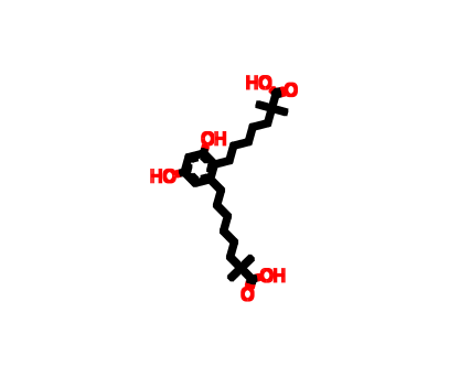 CC(C)(CCCCCCc1cc(O)cc(O)c1CCCCCC(C)(C)C(=O)O)C(=O)O